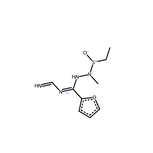 CC[S+]([O-])N(C)N/C(=N\C=N)c1ccco1